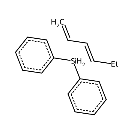 C=CC=CCC.c1ccc([SiH2]c2ccccc2)cc1